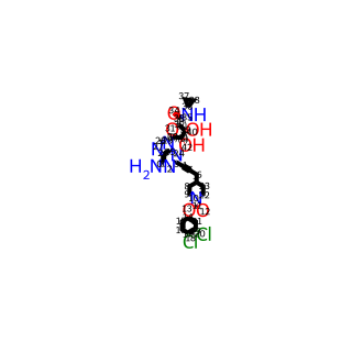 Nc1nc(C#CCC2CCN(C(=O)Oc3ccc(Cl)c(Cl)c3)CC2)nc2c1ncn2[C@@H]1O[C@H](C(=O)NC2CC2)C(O)[C@@H]1O